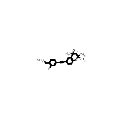 CC1(C)CC(C)(C)c2cc(C#Cc3ccc(CC(=O)O)c(F)c3)ccc2O1